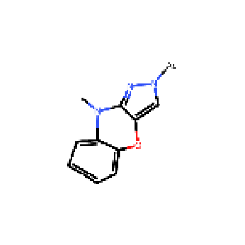 CC(=O)n1cc2c(n1)N(C)c1ccccc1O2